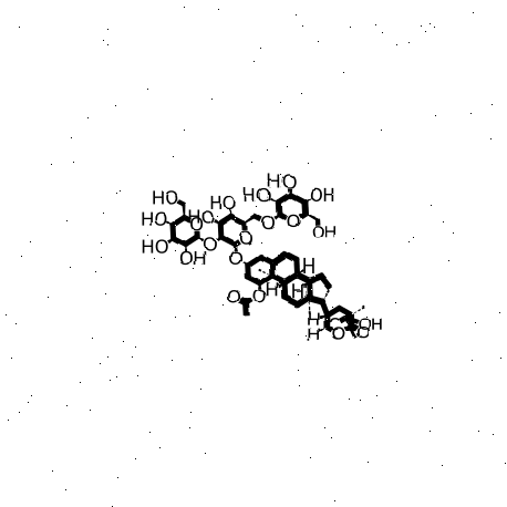 CC(=O)O[C@H]1C[C@H](O[C@@H]2O[C@H](CO[C@@H]3O[C@H](CO)[C@@H](O)[C@H](O)[C@H]3O)[C@@H](O)[C@H](O)[C@H]2O[C@@H]2O[C@H](CO)[C@@H](O)[C@H](O)[C@H]2O)CC2=CC[C@H]3[C@@H]4CC[C@H]([C@@H]5C[C@@]6(C)C(=O)O[C@@H]5C[C@@]6(C)O)[C@@]4(C)CC[C@@H]3[C@]21C